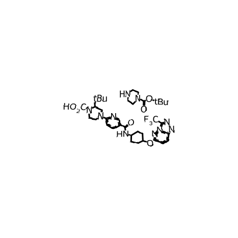 CC(C)(C)C1CN(c2ccc(C(=O)NC3CCC(Oc4ccc5nnc(C(F)(F)F)n5n4)CC3)cn2)CCN1C(=O)O.CC(C)(C)OC(=O)N1CCNCC1